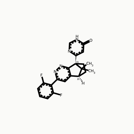 CC1(C)[C@H]2CC[C@]1(c1cc(=O)[nH]cn1)c1nnc(-c3c(F)cccc3F)cc12